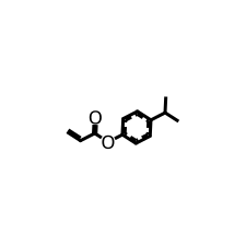 C=CC(=O)Oc1ccc(C(C)C)cc1